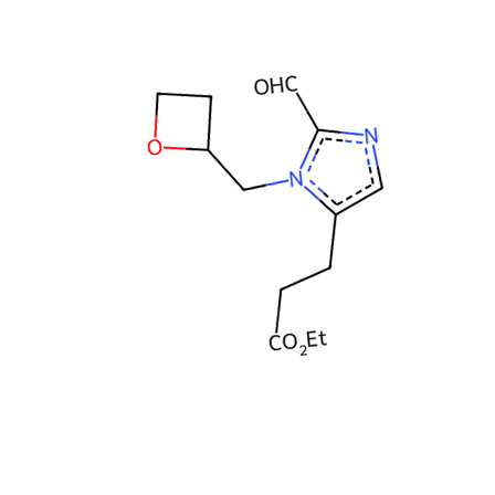 CCOC(=O)CCc1cnc(C=O)n1CC1CCO1